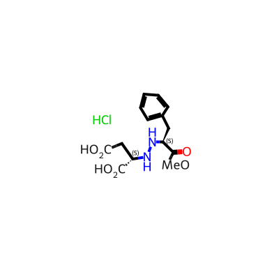 COC(=O)[C@H](Cc1ccccc1)NN[C@@H](CC(=O)O)C(=O)O.Cl